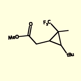 COC(=O)CC1C(C(C)(C)C)C1(C)C(F)(F)F